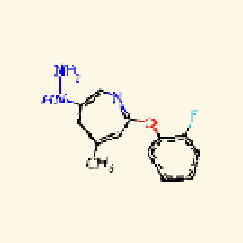 CC1=CC(Oc2ccccc2F)=NC=C(NN)C1